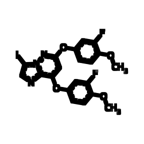 COc1ccc(Oc2cc(Oc3ccc(OC)c(F)c3)c3ncc(I)n3n2)cc1F